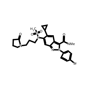 CNC(=O)c1c2cc(C3CC3)c(N(CCCN3CCCC3=O)S(C)(=O)=O)cc2nn1-c1ccc(Br)cc1